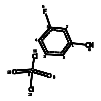 N#Cc1cccc(F)c1.O=S(=O)(Cl)Cl